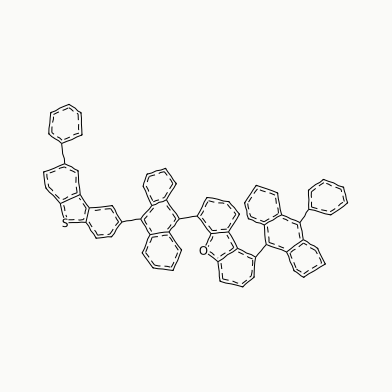 c1ccc(-c2ccc3sc4ccc(-c5c6ccccc6c(-c6cccc7c6oc6cccc(-c8c9ccccc9c(-c9ccccc9)c9ccccc89)c67)c6ccccc56)cc4c3c2)cc1